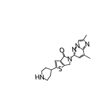 Cc1cn2nc(N3Cc4sc(C5CCNCC5)cc4C3=O)cc(C)c2n1